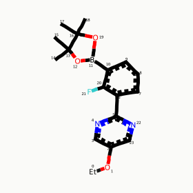 CCOc1cnc(-c2cccc(B3OC(C)(C)C(C)(C)O3)c2F)nc1